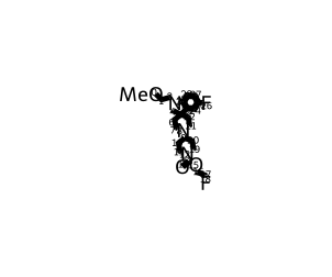 COCCN1CC2(CCN(C3CCN(C(=O)OCCF)CC3)CC2)c2cc(F)ccc21